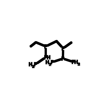 CCP(CP(C)P(P)P)PP